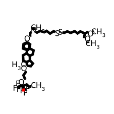 CCCC(OCCCOC1CCC2C3CCc4cc(OCCN(C)CCCCCCSSCCCCCCC(COC)COC)ccc4C3CCC12C)(C(F)(F)F)C(F)(F)F